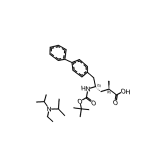 CCN(C(C)C)C(C)C.C[C@H](C[C@@H](Cc1ccc(-c2ccccc2)cc1)NC(=O)OC(C)(C)C)C(=O)O